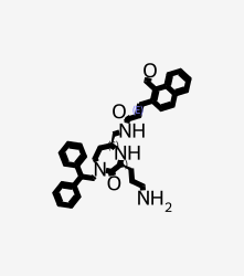 NCCC[C@@H]1N[C@H](CNC(=O)/C=C/c2ccc3ccccc3c2C=O)CCN(CC(c2ccccc2)c2ccccc2)C1=O